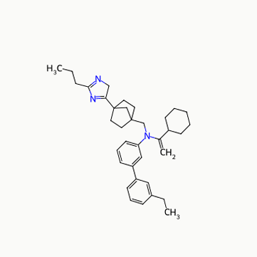 C=C(C1CCCCC1)N(CC12CCC(C3=NC(CCC)=NC3)(CC1)C2)c1cccc(-c2cccc(CC)c2)c1